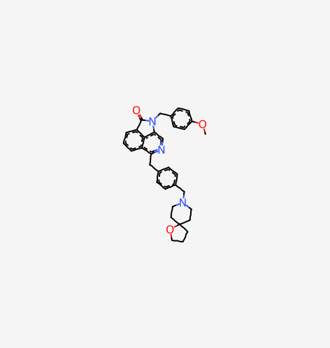 COc1ccc(CN2C(=O)c3cccc4c(Cc5ccc(CN6CCC7(CCCO7)CC6)cc5)ncc2c34)cc1